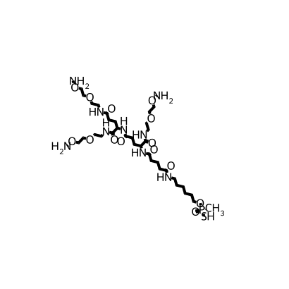 CP(=O)(S)OCCCCCCNC(=O)CCCC(=O)NC(CCC(=O)NC(CCC(=O)NCCOCCON)C(=O)NCCOCCON)C(=O)NCCOCCON